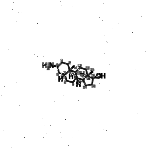 C[C@]12CC[C@H](N)C[C@@H]1CC[C@@H]1[C@@H]2CC[C@]2(C)[C@@H](O)CC[C@@H]12